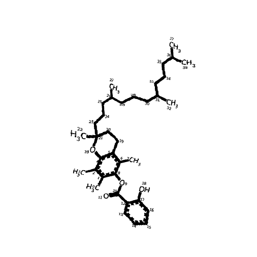 Cc1c(C)c2c(c(C)c1OC(=O)c1ccccc1O)CCC(C)(CCCC(C)CCCC(C)CCCC(C)C)O2